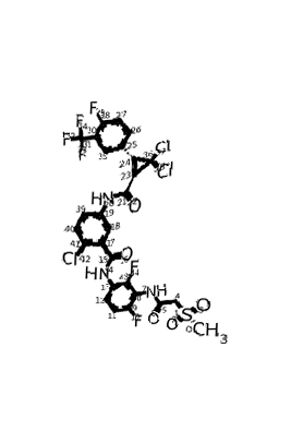 CS(=O)(=O)CC(=O)Nc1c(F)ccc(NC(=O)c2cc(NC(=O)[C@H]3[C@H](c4ccc(F)c(C(F)(F)F)c4)C3(Cl)Cl)ccc2Cl)c1F